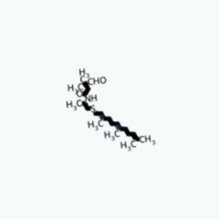 CC(C)=CCC/C(C)=C/CC/C(C)=C/CSCC(C)NC(=O)CC(C)(C)C=O